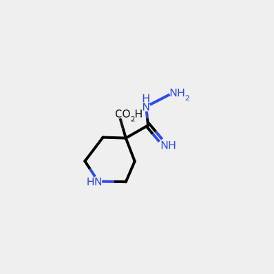 N=C(NN)C1(C(=O)O)CCNCC1